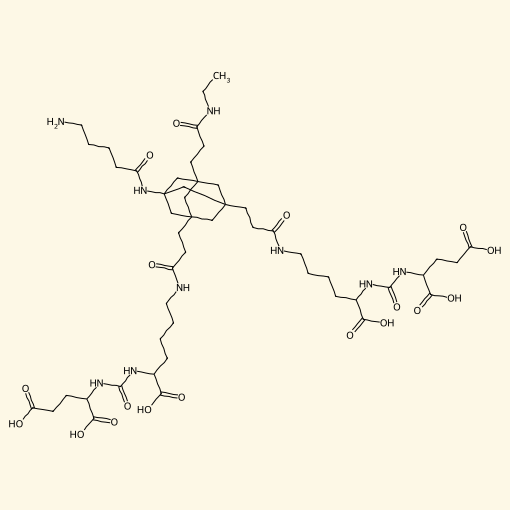 CCNC(=O)CCC12CC3(CCC(=O)NCCCCC(NC(=O)NC(CCC(=O)O)C(=O)O)C(=O)O)CC(CCC(=O)NCCCCC(NC(=O)NC(CCC(=O)O)C(=O)O)C(=O)O)(C1)CC(NC(=O)CCCCN)(C2)C3